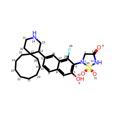 O=C1CN(c2c(O)cc3ccc(C4CNCCC45CCCCCCCC5)cc3c2F)S(=O)(=O)N1